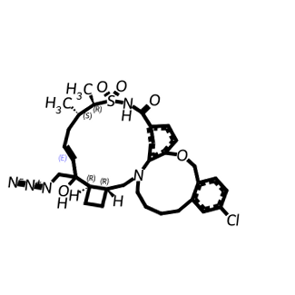 C[C@@H]1[C@@H](C)C/C=C/C(O)(CN=[N+]=[N-])[C@@H]2CC[C@H]2CN2CCCCc3cc(Cl)ccc3COc3ccc(cc32)C(=O)NS1(=O)=O